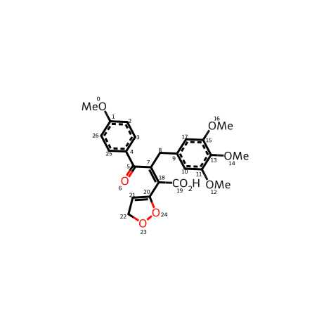 COc1ccc(C(=O)C(Cc2cc(OC)c(OC)c(OC)c2)=C(C(=O)O)C2=CCOO2)cc1